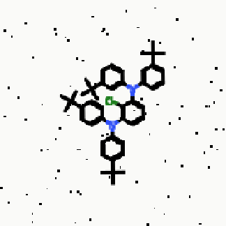 CC(C)(C)c1ccc(N(c2ccc(C(C)(C)C)cc2)c2cccc(N(c3cccc(C(C)(C)C)c3)c3cccc(C(C)(C)C)c3)c2Cl)cc1